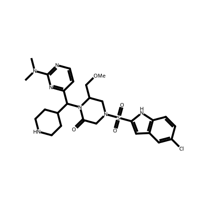 COCC1CN(S(=O)(=O)c2cc3cc(Cl)ccc3[nH]2)CC(=O)N1C(c1ccnc(N(C)C)n1)C1CCNCC1